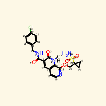 Cn1c(=O)c(C(=O)NCc2ccc(Cl)cc2)cc2ccnc(OCC3(S(N)(=O)=O)CC3)c21